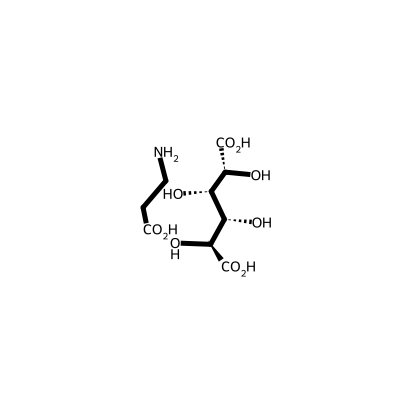 NCCC(=O)O.O=C(O)[C@@H](O)[C@@H](O)[C@H](O)[C@@H](O)C(=O)O